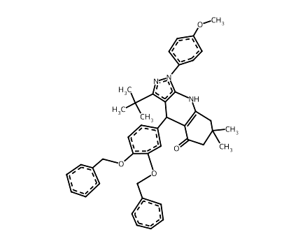 COc1ccc(-n2nc(C(C)(C)C)c3c2NC2=C(C(=O)CC(C)(C)C2)C3c2ccc(OCc3ccccc3)c(OCc3ccccc3)c2)cc1